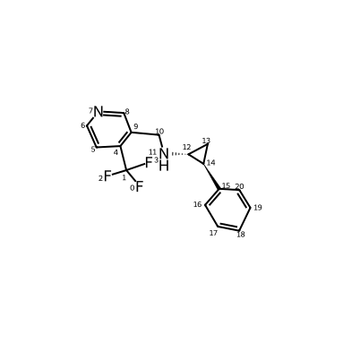 FC(F)(F)c1ccncc1CN[C@@H]1C[C@H]1c1ccccc1